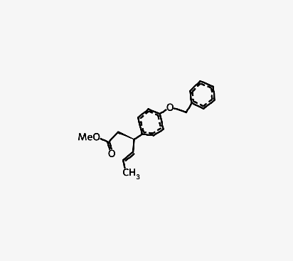 CC=C[C@@H](CC(=O)OC)c1ccc(OCc2ccccc2)cc1